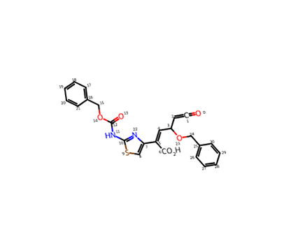 O=C=CC(C=C(C(=O)O)c1csc(NC(=O)OCc2ccccc2)n1)OCc1ccccc1